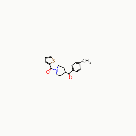 Cc1ccc(C(=O)C2CCN(C(=O)c3cccs3)CC2)cc1